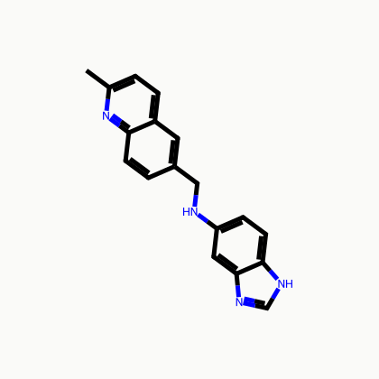 Cc1ccc2cc(CNc3ccc4[nH]cnc4c3)ccc2n1